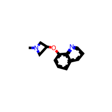 CN1CC(Oc2cccc3cccnc23)C1